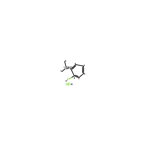 C[SiH](C)c1ccccc1F.F